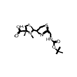 CN1C(C2CSC(CNC(=O)OC(C)(C)C)=N2)SC[C@@]1(C)C(=O)O